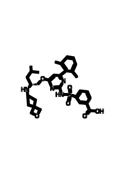 Cc1cccc(C)c1-c1cc(OC[C@@H](CC(C)C)NC2CC3(COC3)C2)nc(NS(=O)(=O)c2cccc(C(=O)O)c2)n1